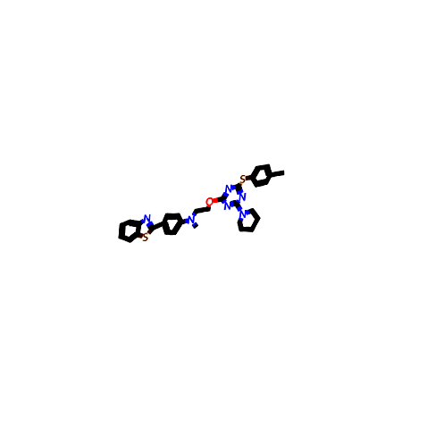 Cc1ccc(Sc2nc(OCCN(C)c3ccc(-c4nc5ccccc5s4)cc3)nc(N3CCCCC3)n2)cc1